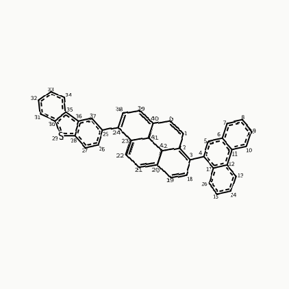 C1=CC2=C(c3cc4ccccc4c4ccccc34)C=CC3=CC=C4C(c5ccc6sc7ccccc7c6c5)=CC=C1C4C32